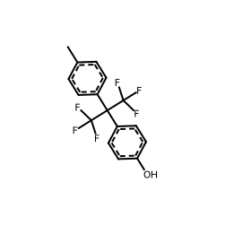 Cc1ccc(C(c2ccc(O)cc2)(C(F)(F)F)C(F)(F)F)cc1